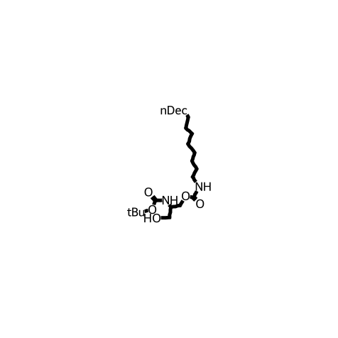 CCCCCCCCCCCCCCCCCCNC(=O)OCC(CO)NC(=O)OC(C)(C)C